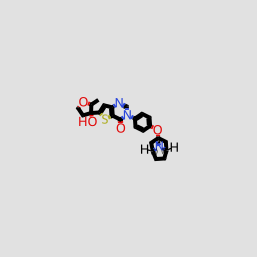 CC1OCCC1(O)c1cc2ncn(-c3ccc(OC4C[C@H]5CC[C@@H](C4)N5C)cc3)c(=O)c2s1